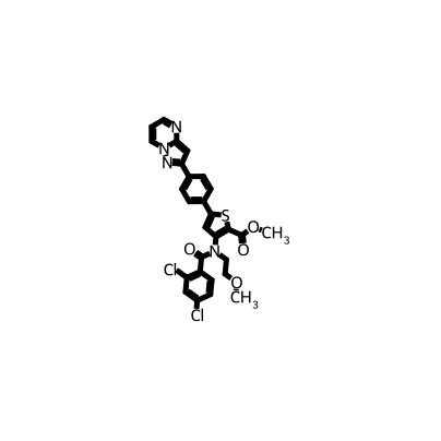 COCCN(C(=O)c1ccc(Cl)cc1Cl)c1cc(-c2ccc(-c3cc4ncccn4n3)cc2)sc1C(=O)OC